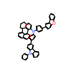 c1ccc(-n2c3ccccc3c3cc(-c4ccc(N(c5ccc(-c6ccc7oc8ccccc8c7c6)cc5)c5ccccc5-c5cccc6cccc(C7CCCCC7)c56)cc4)ccc32)cc1